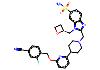 N#Cc1ccc(COc2cccc(C3CCN(Cc4nc5ccc(S(N)(=O)=O)cc5n4C[C@@H]4CCO4)CC3)n2)c(F)c1